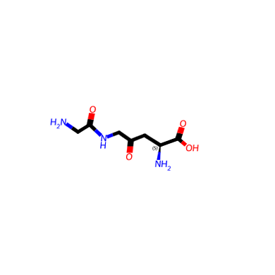 NCC(=O)NCC(=O)C[C@H](N)C(=O)O